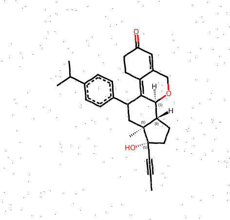 CC#C[C@]1(O)CC[C@H]2[C@@H]3OCC4=CC(=O)CCC4=C3C(c3ccc(C(C)C)cc3)C[C@@]21C